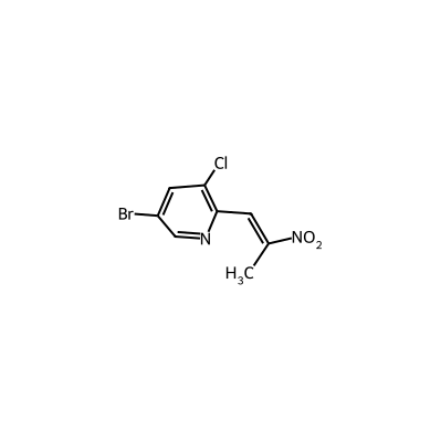 CC(=Cc1ncc(Br)cc1Cl)[N+](=O)[O-]